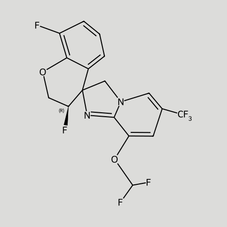 Fc1cccc2c1OC[C@H](F)C21CN2C=C(C(F)(F)F)C=C(OC(F)F)C2=N1